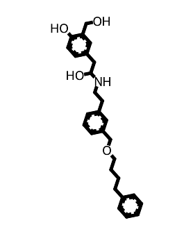 OCc1cc(CC(O)NCCc2cccc(COCCCCc3ccccc3)c2)ccc1O